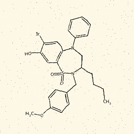 CCCCC1CN(c2ccccc2)c2cc(Br)c(O)cc2S(=O)(=O)N1Cc1ccc(OC)cc1